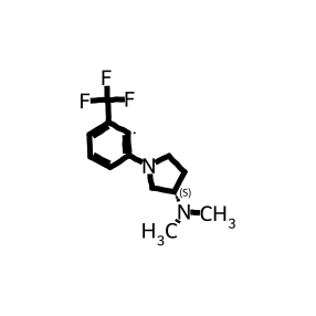 CN(C)[C@H]1CCN(c2[c]c(C(F)(F)F)ccc2)C1